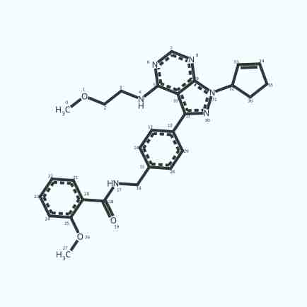 COCCNc1ncnc2c1c(-c1ccc(CNC(=O)c3ccccc3OC)cc1)nn2C1C=CCC1